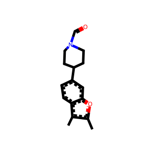 Cc1oc2cc(C3CCN(C=O)CC3)ccc2c1C